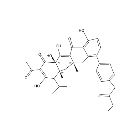 CCC(=O)Cc1ccc(-c2ccc(O)c3c2C[C@]2(C)C[C@]4(C)C(C(C)C)C(O)=C(C(C)=O)C(=O)[C@]4(O)C(O)=C2C3=O)cc1